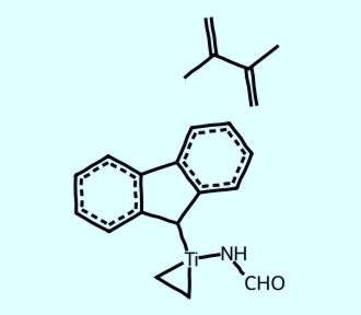 C=C(C)C(=C)C.O=C[NH][Ti]1([CH]2c3ccccc3-c3ccccc32)[CH2][CH2]1